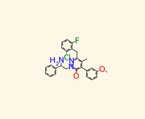 COc1cccc(-c2c(C)c(Cc3c(F)cccc3Cl)nn(CC(N)c3ccccc3)c2=O)c1